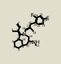 C=C/C(C)=C1/C2CCCC(CC(NC)CN1/C=C(\C)Cc1ccc(F)cc1F)C2